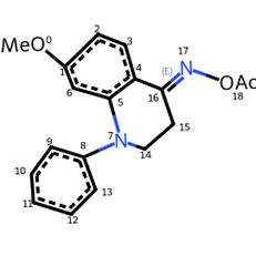 COc1ccc2c(c1)N(c1ccccc1)CC/C2=N\OC(C)=O